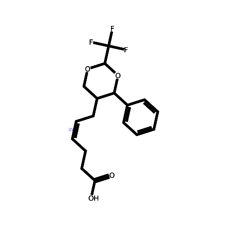 O=C(O)CC/C=C\CC1COC(C(F)(F)F)OC1c1ccccc1